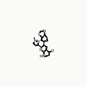 Cn1ccc(-c2nc3[nH]ccc(=O)c3cc2-c2ccc3ncsc3c2)n1